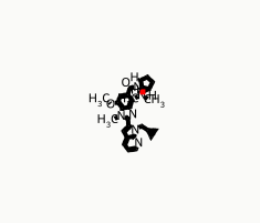 COc1cc(C(=O)N2C[C@H]3CC[C@@H]2[C@@H]3N(C)C)cc2nc(-c3cc4cccnc4n3CC3CC3)n(C)c12